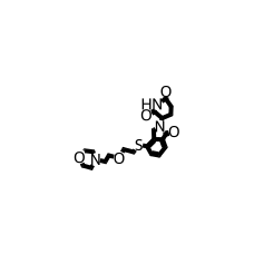 O=C1CCC(N2Cc3c(SCCOCCN4CCOCC4)cccc3C2=O)C(=O)N1